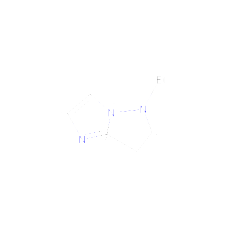 [CH2]CN1CCC2=NC=C[N+]21